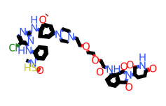 COc1cc(N2CCN(CCOCCOCC(=O)Nc3cccc4c3C(=O)N(C3CCC(=O)NC3=O)C4=O)CC2)ccc1Nc1ncc(Cl)c(Nc2ccccc2N(C)[SH]=O)n1